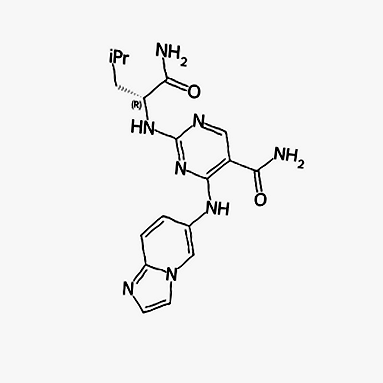 CC(C)C[C@@H](Nc1ncc(C(N)=O)c(Nc2ccc3nccn3c2)n1)C(N)=O